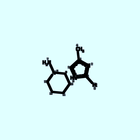 CCc1nc(C)c[nH]1.NN1CCCCC1